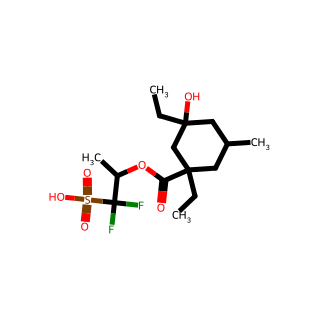 CCC1(O)CC(C)CC(CC)(C(=O)OC(C)C(F)(F)S(=O)(=O)O)C1